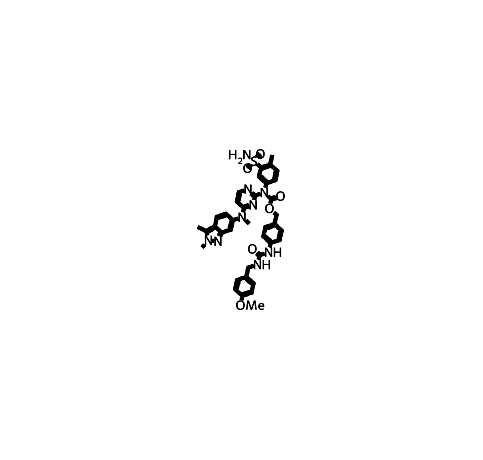 COc1ccc(CNC(=O)Nc2ccc(COC(=O)N(c3ccc(C)c(S(N)(=O)=O)c3)c3nccc(N(C)c4ccc5c(C)n(C)nc5c4)n3)cc2)cc1